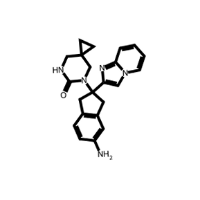 Nc1ccc2c(c1)CC(c1cn3ccccc3n1)(N1CC3(CC3)CNC1=O)C2